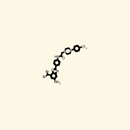 Nc1cc(C(Br)Br)c2oc(-c3ccc(NC(=O)CN4CCN(c5ccc(C(F)(F)F)cc5)CC4)cc3)nc2c1